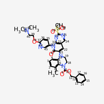 Cc1cccc2c1N(C(=O)OCc1ccccc1)CCN2c1cc2cnc(S(C)(=O)=O)nc2n(-c2ccc(OCCN(C)C)nc2)c1=O